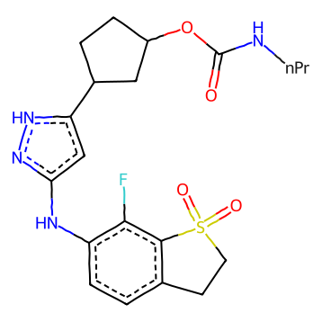 CCCNC(=O)OC1CCC(c2cc(Nc3ccc4c(c3F)S(=O)(=O)CC4)n[nH]2)C1